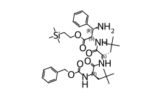 CC(C)(C)C[C@H](NC(=O)[C@@H](CC(C)(C)C)NC(=O)OCc1ccccc1)C(=O)N[C@H](C(=O)OCC[Si](C)(C)C)[C@H](N)c1ccccc1